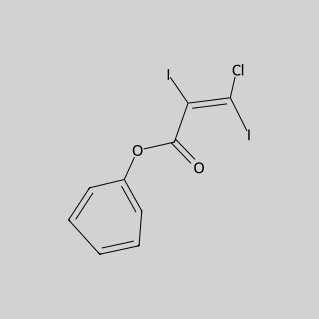 O=C(Oc1ccccc1)C(I)=C(Cl)I